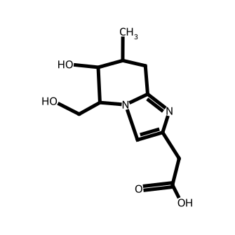 CC1Cc2nc(CC(=O)O)cn2C(CO)C1O